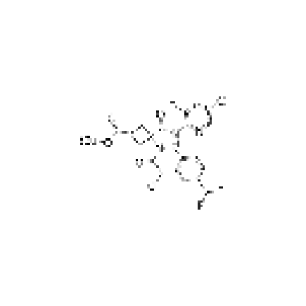 CC(C)(C)OC(=O)C1CC(C(=O)Nc2ncc(Cl)cc2F)(N(Cc2ccc(C(F)F)cc2)C(=O)CCl)C1